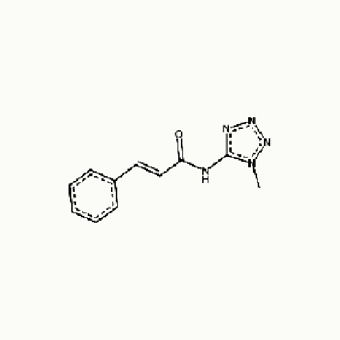 Cn1nnnc1NC(=O)C=Cc1ccccc1